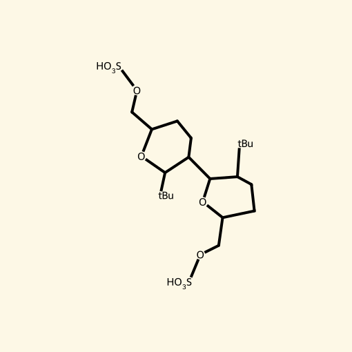 CC(C)(C)C1CCC(COS(=O)(=O)O)OC1C1CCC(COS(=O)(=O)O)OC1C(C)(C)C